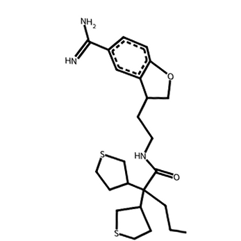 CCCC(C(=O)NCCC1COc2ccc(C(=N)N)cc21)(C1CCSC1)C1CCSC1